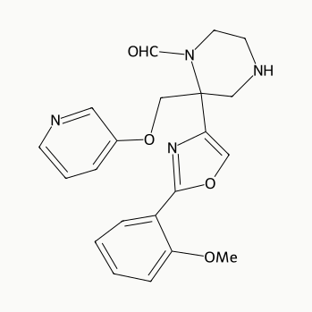 COc1ccccc1-c1nc(C2(COc3cccnc3)CNCCN2C=O)co1